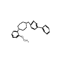 COc1ccccc1N1CCCN(Cc2ccc(-c3ccccc3)cc2)CC1